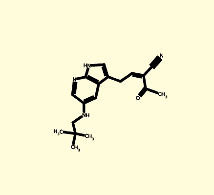 CC(=O)C(C#N)=CCc1c[nH]c2ncc(NCC(C)(C)C)cc12